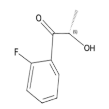 C[C@H](O)C(=O)c1ccccc1F